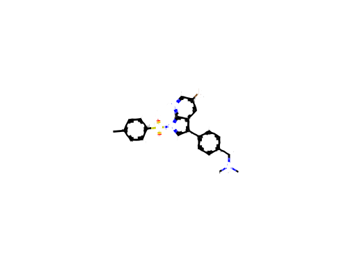 Cc1ccc(S(=O)(=O)n2cc(-c3ccc(CN(C)C)cc3)c3cc(Br)cnc32)cc1